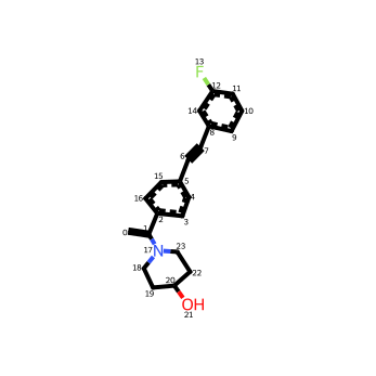 C=C(c1ccc(C#Cc2cccc(F)c2)cc1)N1CCC(O)CC1